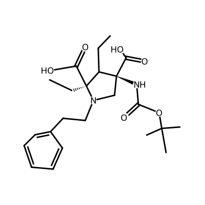 CCC1[C@](CC)(C(=O)O)N(CCc2ccccc2)C[C@@]1(NC(=O)OC(C)(C)C)C(=O)O